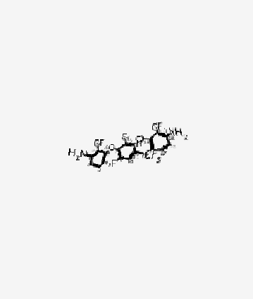 Nc1cccc(Oc2c(F)cc(C(F)(F)F)c(Oc3cccc(N)c3C(F)(F)F)c2F)c1C(F)(F)F